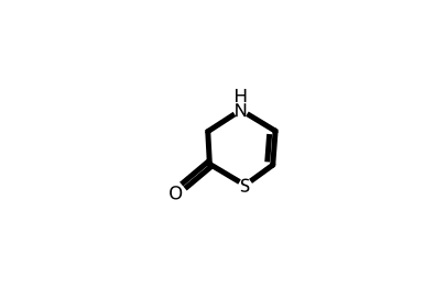 O=C1CNC=CS1